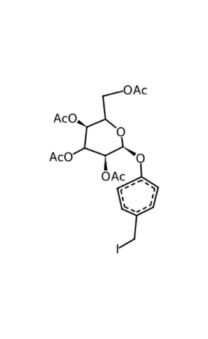 CC(=O)OCC1O[C@@H](Oc2ccc(CI)cc2)[C@@H](OC(C)=O)C(OC(C)=O)[C@H]1OC(C)=O